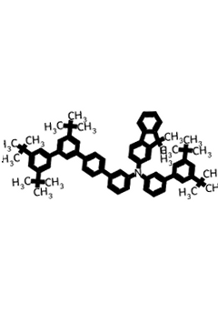 CC(C)(C)c1cc(-c2ccc(-c3cccc(N(c4cccc(-c5cc(C(C)(C)C)cc(C(C)(C)C)c5)c4)c4ccc5c(c4)C(C)(C)c4ccccc4-5)c3)cc2)cc(-c2cc(C(C)(C)C)cc(C(C)(C)C)c2)c1